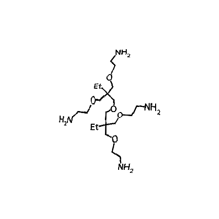 CCC(COCCN)(COCCN)COCC(CC)(COCCN)COCCN